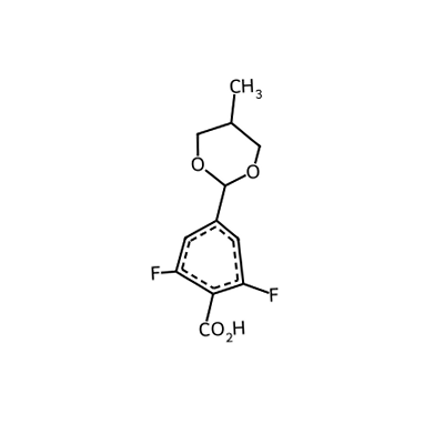 CC1COC(c2cc(F)c(C(=O)O)c(F)c2)OC1